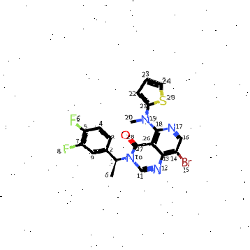 C[C@@H](c1ccc(F)c(F)c1)n1cnc2c(Br)cnc(N(C)c3cccs3)c2c1=O